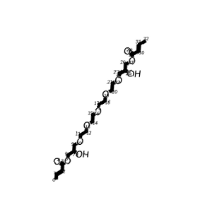 CC=CC(=O)OCC(O)COCCOCCOCCOCCOCC(O)COC(=O)C=CC